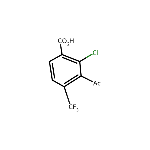 CC(=O)c1c(C(F)(F)F)ccc(C(=O)O)c1Cl